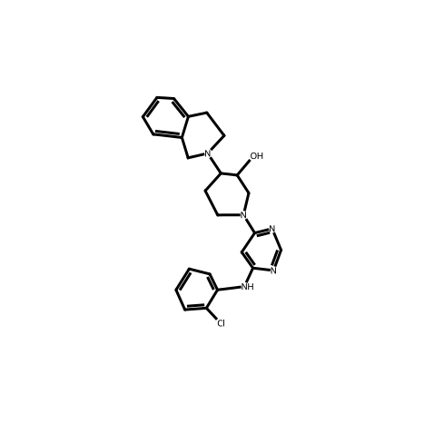 OC1CN(c2cc(Nc3ccccc3Cl)ncn2)CCC1N1CCc2ccccc2C1